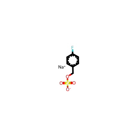 O=S(=O)([O-])OCc1ccc(F)cc1.[Na+]